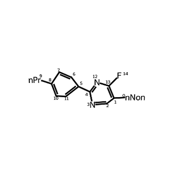 CCCCCCCCCc1cnc(-c2ccc(CCC)cc2)nc1F